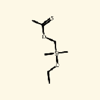 CCO[Si](C)(C)COC(C)=S